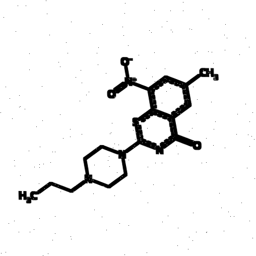 CCCN1CCN(c2nc(=O)c3cc(C)cc([N+](=O)[O-])c3s2)CC1